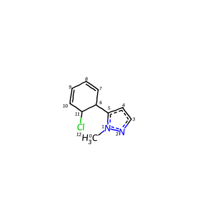 Cn1nccc1C1C=CC=CC1Cl